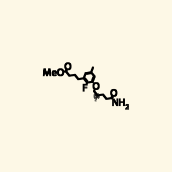 COC(=O)CCCc1cc(C)cc(OC[C@@H](C)CCC(N)=O)c1F